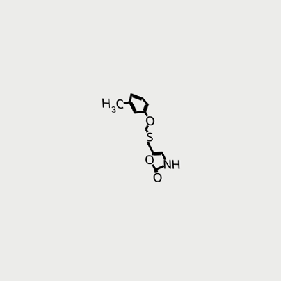 Cc1cccc(OCSCc2c[nH]c(=O)o2)c1